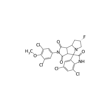 COc1c(Cl)cc(N2C(=O)C3C4C[C@H](F)CN4C4(C(=O)Nc5c(Cl)cc(Cl)cc54)C3C2=O)cc1Cl